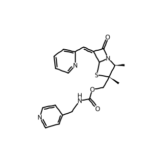 C[C@@H]1N2C(=O)/C(=C/c3ccccn3)C2S[C@@]1(C)COC(=O)NCc1ccncc1